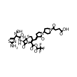 Nc1nc(/C(=N/O)C(=O)N[C@@H]2C(=O)N3C(C(=O)OC(=O)C(F)(F)F)=C(C=C4CCN(C5CCN(C(=O)CCC(=O)O)CC5)C4=O)CS[C@H]23)cs1